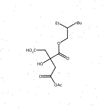 CCCCC(CC)COC(=O)C(O)(CC(=O)O)CC(=O)OC(C)=O